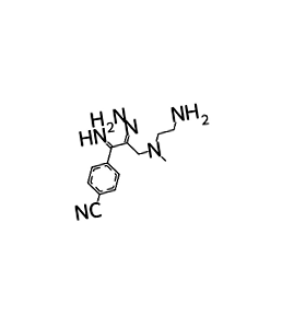 CN(CCN)C/C(=N/N)C(=N)c1ccc(C#N)cc1